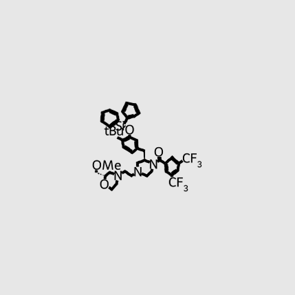 COC[C@@H]1CN(CCN2CCN(C(=O)c3cc(C(F)(F)F)cc(C(F)(F)F)c3)[C@H](Cc3ccc(C)c(O[Si](c4ccccc4)(c4ccccc4)C(C)(C)C)c3)C2)CCO1